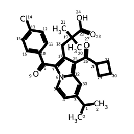 CC(C)c1ccn2c(C(=O)c3ccc(Cl)cc3)c(CC(C)(C)C(=O)O)c(C(=O)C3CCC3)c2c1